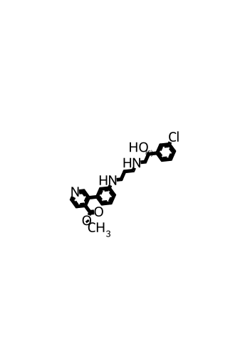 COC(=O)c1ccncc1-c1cccc(NCCCNC[C@@H](O)c2cccc(Cl)c2)c1